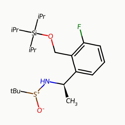 CC(C)[Si](OCc1c(F)cccc1[C@@H](C)N[S+]([O-])C(C)(C)C)(C(C)C)C(C)C